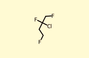 FCCC(F)(Cl)CF